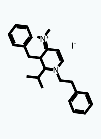 CC(C)C1C(Cc2ccccc2)C(=[N+](C)C)C=CN1CCc1ccccc1.[I-]